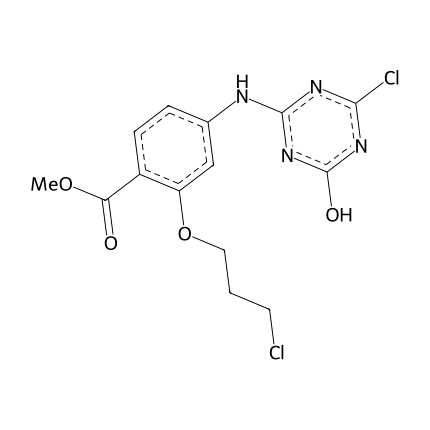 COC(=O)c1ccc(Nc2nc(O)nc(Cl)n2)cc1OCCCCl